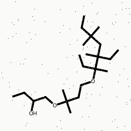 CCC(O)COC(C)(C)CCOC(C)(CC)C(C)(CC)CC(C)(C)CC